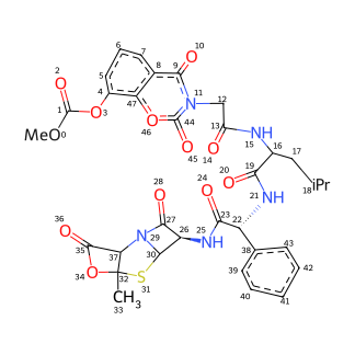 COC(=O)Oc1cccc2c(=O)n(CC(=O)NC(CC(C)C)C(=O)N[C@@H](C(=O)N[C@@H]3C(=O)N4C3SC3(C)OC(=O)C43)c3ccccc3)c(=O)oc12